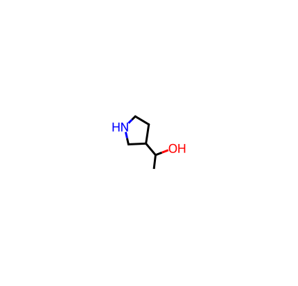 CC(O)C1CCNC1